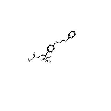 CS(=O)(=O)C(CCC(N)=O)c1ccc(OCCOc2ccccc2)cc1